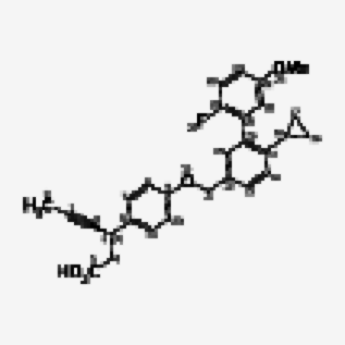 CC#C[C@H](CC(=O)O)c1ccc(OCc2ccc(C3CC3)c(-c3cc(OC)ccc3F)c2)cc1